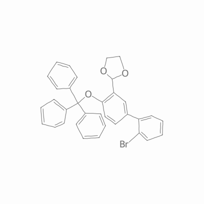 Brc1ccccc1-c1ccc(OC(c2ccccc2)(c2ccccc2)c2ccccc2)c(C2OCCO2)c1